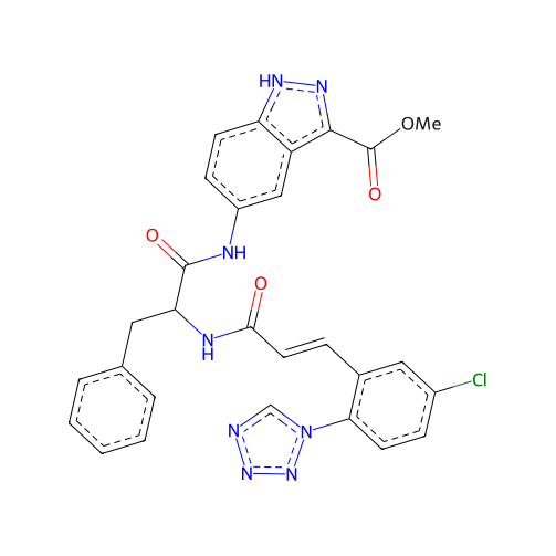 COC(=O)c1n[nH]c2ccc(NC(=O)C(Cc3ccccc3)NC(=O)C=Cc3cc(Cl)ccc3-n3cnnn3)cc12